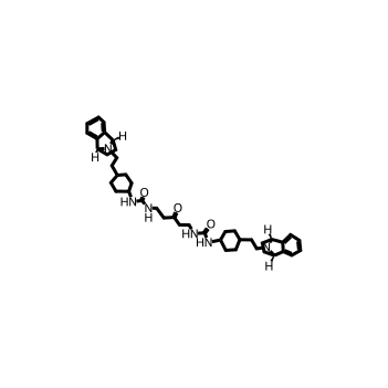 O=C(CCNC(=O)NC1CCC(CCN2[C@@H]3CC[C@H]2c2ccccc23)CC1)CCNC(=O)NC1CCC(CCN2[C@@H]3CC[C@H]2c2ccccc23)CC1